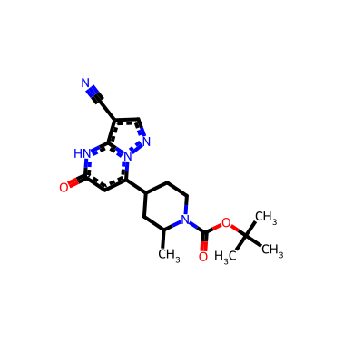 CC1CC(c2cc(=O)[nH]c3c(C#N)cnn23)CCN1C(=O)OC(C)(C)C